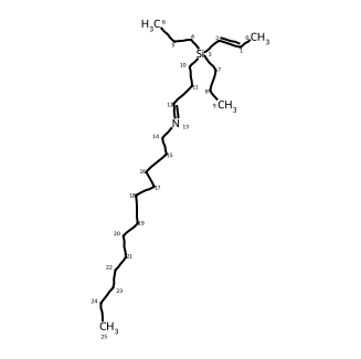 CC=C[Si](CCC)(CCC)CCC=NCCCCCCCCCCCC